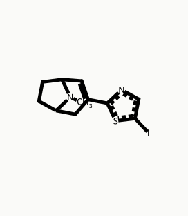 CN1C2C=C(c3ncc(I)s3)CC1CC2